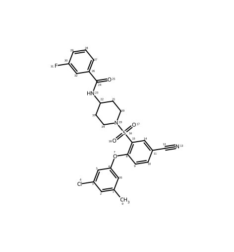 Cc1cc(Cl)cc(Oc2ccc(C#N)cc2S(=O)(=O)N2CCC(NC(=O)c3cccc(F)c3)CC2)c1